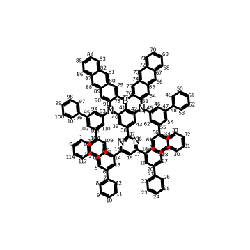 c1ccc(-c2cc(-c3ccccc3)cc(-c3cc(-c4cc(-c5ccccc5)cc(-c5ccccc5)c4)nc(-c4cc5c6c(c4)N(c4cc(-c7ccccc7)cc(-c7ccccc7)c4)c4cc7cc8ccccc8cc7cc4B6c4cc6cc7ccccc7cc6cc4N5c4cc(-c5ccccc5)cc(-c5ccccc5)c4)n3)c2)cc1